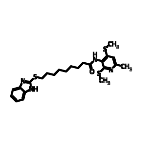 CSc1cc(C)nc(SC)c1NC(=O)CCCCCCCCSc1nc2ccccc2[nH]1